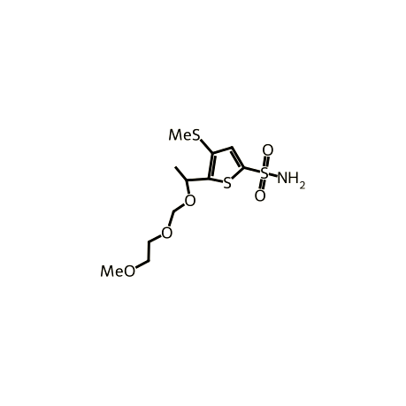 COCCOCOC(C)c1sc(S(N)(=O)=O)cc1SC